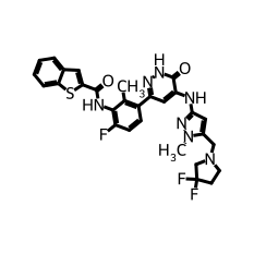 Cc1c(-c2cc(Nc3cc(CN4CCC(F)(F)C4)n(C)n3)c(=O)[nH]n2)ccc(F)c1NC(=O)c1cc2ccccc2s1